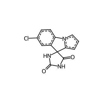 O=C1NC(=O)C2(N1)c1cc(Cl)ccc1-n1cccc12